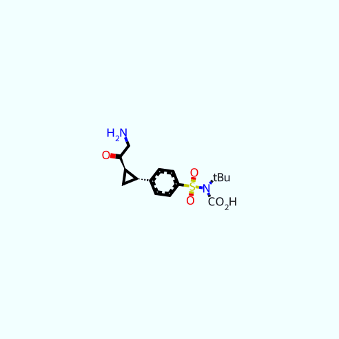 CC(C)(C)N(C(=O)O)S(=O)(=O)c1ccc([C@@H]2C[C@H]2C(=O)CN)cc1